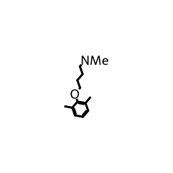 CNCCCCOc1c(C)cccc1C